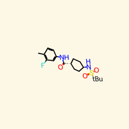 Cc1ccc(NC(=O)[C@H]2CC[C@H](NS(=O)(=O)C(C)(C)C)CC2)cc1F